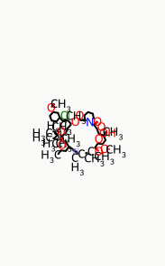 CCCC1/C=C(\C)CC(C)CC(OC)C2OC(O)(C(=O)C(=O)N3CCCCC3C(=O)OC(C(C)=CC3(Cl)CCCC(OC)C3)C(C)C(O[Si](C(C)C)(C(C)C)C(C)C)CC1=O)C(C)CC2OC